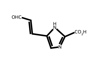 O=CC=Cc1cnc(C(=O)O)[nH]1